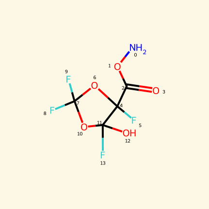 NOC(=O)C1(F)OC(F)(F)OC1(O)F